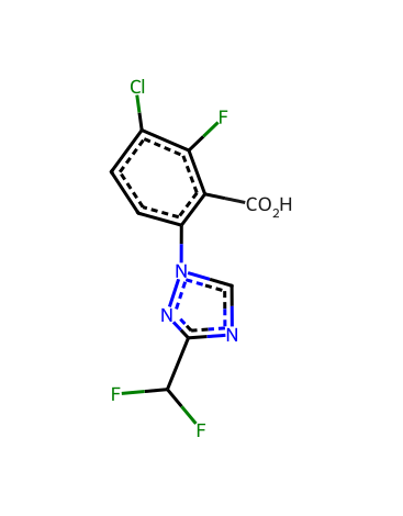 O=C(O)c1c(-n2cnc(C(F)F)n2)ccc(Cl)c1F